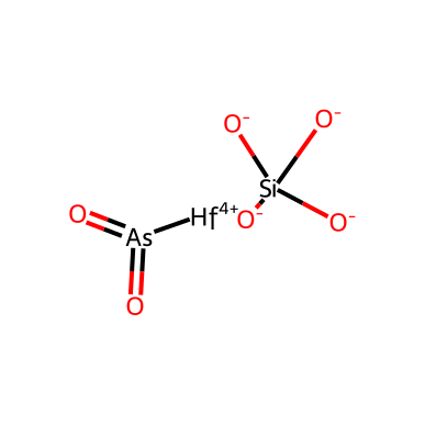 O=[As](=O)[Hf+4].[O-][Si]([O-])([O-])[O-]